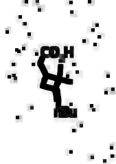 CCCCC=C1CC(CC(=O)O)C1(C)C